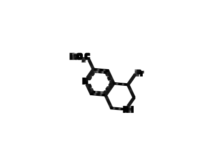 CCOC(=O)c1cc2c(cn1)CNCC2C(C)C